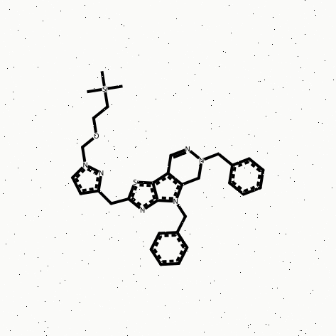 C[Si](C)(C)CCOCn1ccc(Cc2nc3c(s2)c2c(n3Cc3ccccc3)CN(Cc3ccccc3)N=C2)n1